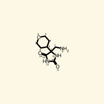 NCC1(C2CCOCC2)NC(=O)NC1=O